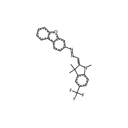 CN1C(=CN=Nc2ccc3c(c2)oc2ccccc23)C(C)(C)c2cc(C(F)(F)F)ccc21